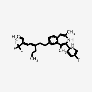 C=C/C(=C\C=C(/CCC)CCc1ccc2c(c1)C(C)=C(C1C=CC(F)=CN1)NC(C)=C2)C(F)(F)F